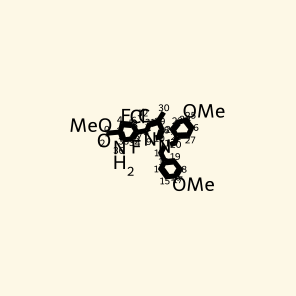 COC(=O)c1cc(Cl)c(-c2nc(N(Cc3ccc(OC)cc3)Cc3ccc(OC)cc3)cc(C)c2C(F)(F)F)c(F)c1N